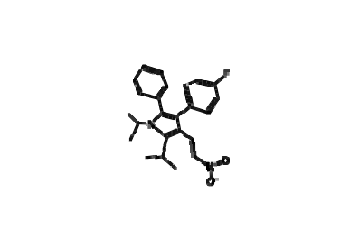 CC(C)c1c(/C=C/[N+](=O)[O-])c(-c2ccc(F)cc2)c(-c2ccccc2)n1C(C)C